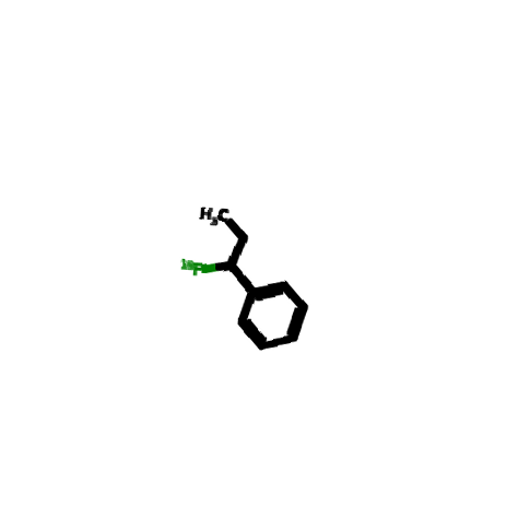 CCC([18F])c1ccccc1